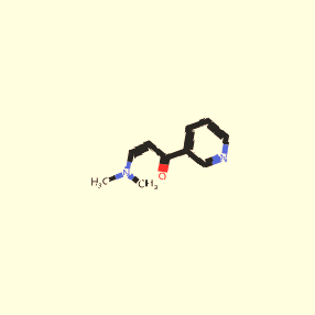 CN(C)/C=C\C(=O)c1cccnc1